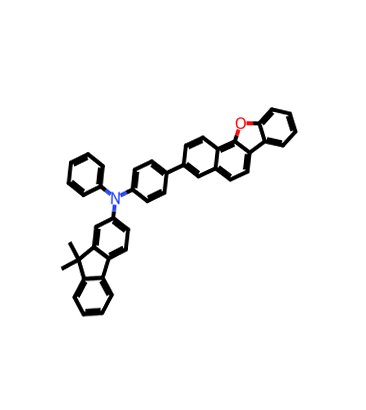 CC1(C)c2ccccc2-c2ccc(N(c3ccccc3)c3ccc(-c4ccc5c(ccc6c7ccccc7oc56)c4)cc3)cc21